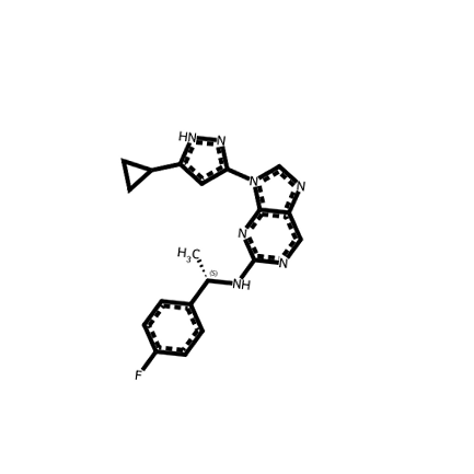 C[C@H](Nc1ncc2ncn(-c3cc(C4CC4)[nH]n3)c2n1)c1ccc(F)cc1